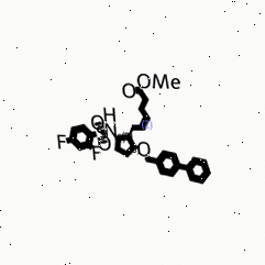 COC(=O)CC/C=C\C[C@@H]1[C@@H](NS(=O)(=O)c2ccc(F)cc2F)CC[C@@H]1OCc1ccc(-c2ccccc2)cc1